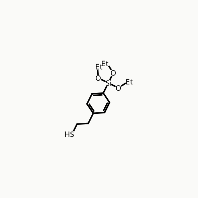 CCO[Si](OCC)(OCC)c1ccc(CCS)cc1